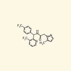 Cc1ccnn1CC(=O)NC(c1ccc(C(F)(F)F)cc1)c1ncccc1C(F)(F)F